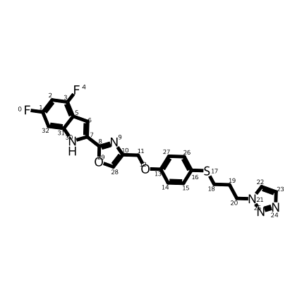 Fc1cc(F)c2cc(-c3nc(COc4ccc(SCCCn5ccnn5)cc4)co3)[nH]c2c1